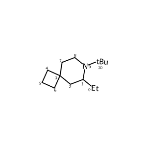 CCC1CC2(CCC2)CCN1C(C)(C)C